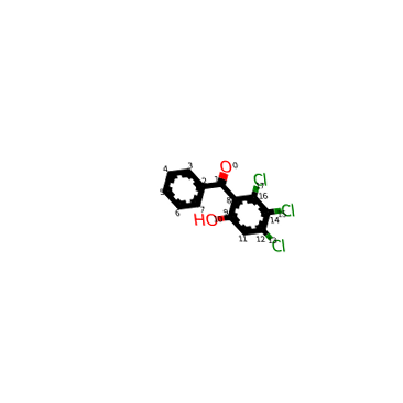 O=C(c1ccccc1)c1c(O)cc(Cl)c(Cl)c1Cl